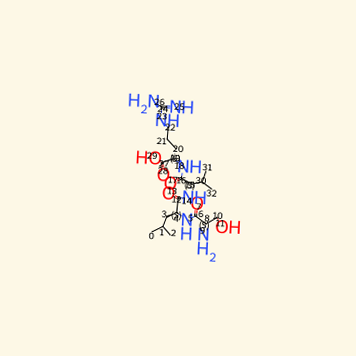 CC(C)C[C@H](NC(=O)[C@@H](N)CO)C(=O)N[C@H](C(=O)N[C@@H](CCCNC(=N)N)C(=O)O)C(C)C